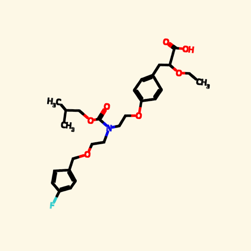 CCOC(Cc1ccc(OCCN(CCOCc2ccc(F)cc2)C(=O)OCC(C)C)cc1)C(=O)O